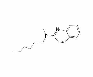 CCCCCCP(C)c1ccc2ccccc2n1